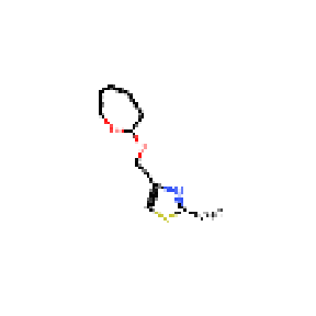 O=Cc1nc(COC2CCCCO2)cs1